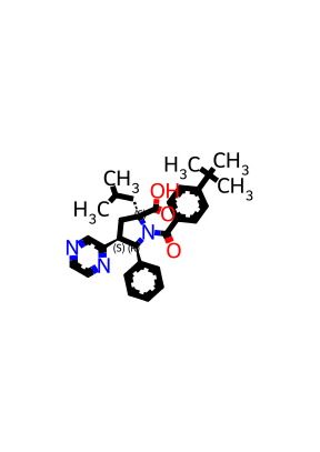 CC(C)C[C@@]1(C(=O)O)C[C@H](c2cnccn2)[C@H](c2ccccc2)N1C(=O)c1ccc(C(C)(C)C)cc1